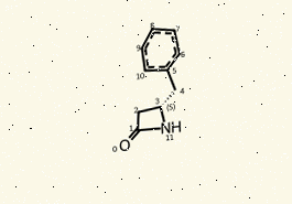 O=C1C[C@H](Cc2ccccc2)N1